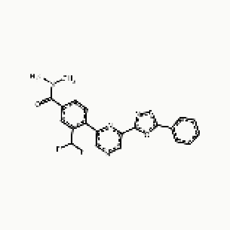 CN(C)C(=O)c1ccc(-c2cncc(-c3nnc(-c4ccccc4)o3)n2)c(C(F)F)c1